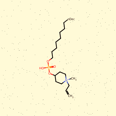 C=CC[N+]1(C)CCC(OP(=O)(O)OCCCCCCCCCCCCCCCCCC)CC1